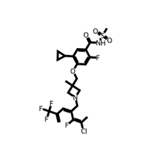 C=C(/C=C(CN1CC(C)(COc2cc(F)c(C(=O)NS(C)(=O)=O)cc2C2CC2)C1)\C(F)=C(/C)Cl)C(F)(F)F